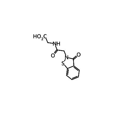 O=C(O)CNC(=O)Cn1sc2ccccc2c1=O